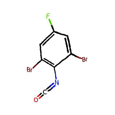 O=C=Nc1c(Br)cc(F)cc1Br